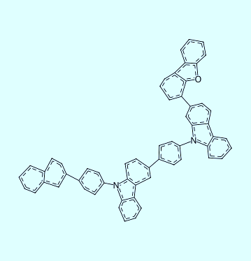 c1ccc2cc(-c3ccc(-n4c5ccccc5c5cc(-c6ccc(-n7c8ccccc8c8ccc(-c9cccc%10c9oc9ccccc9%10)cc87)cc6)ccc54)cc3)ccc2c1